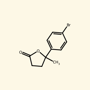 CC1(c2ccc(Br)cc2)CCC(=O)O1